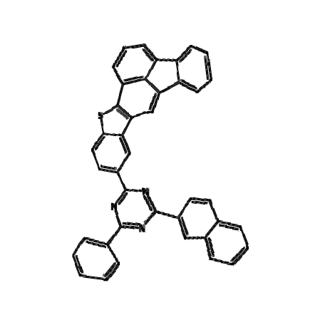 c1ccc(-c2nc(-c3ccc4ccccc4c3)nc(-c3ccc4sc5c6cccc7c6c(cc5c4c3)-c3ccccc3-7)n2)cc1